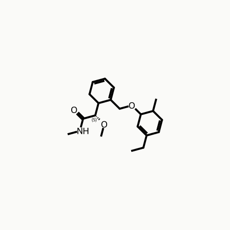 CCC1=CC(OCC2=CC=CCC2[C@H](OC)C(=O)NC)C(C)C=C1